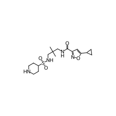 CC(C)(CNC(=O)c1cc(C2CC2)on1)CNS(=O)(=O)C1CCNCC1